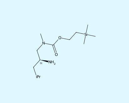 CC(C)C[C@H](N)CN(C)C(=O)OCC[Si](C)(C)C